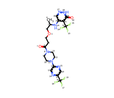 CC(COCCC(=O)N1CCN(c2cnc(C(F)(F)F)cn2)CC1)Nc1cn[nH]c(=O)c1C(F)(F)F